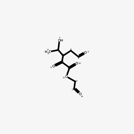 CC(O)C(CC=O)C(=O)C(=O)OCC=O